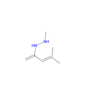 C=C(C=C(C)C)NNC